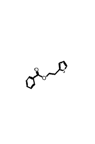 O=C(OCCc1cccs1)c1ccccc1